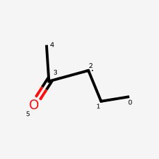 CC[CH]C(C)=O